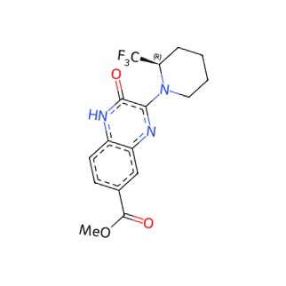 COC(=O)c1ccc2[nH]c(=O)c(N3CCCC[C@@H]3C(F)(F)F)nc2c1